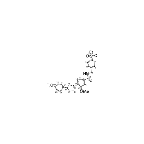 CCS(=O)(=O)c1ccc(CNC(=O)c2ccc(N3CCC(c4ccc(C(F)(F)F)cc4)C3)c(OC)c2)cc1